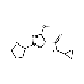 COc1nc(C2CCOC2)cn1C(=O)NC1CC1